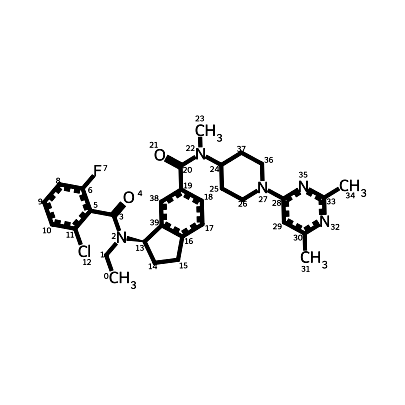 CCN(C(=O)c1c(F)cccc1Cl)[C@@H]1CCc2ccc(C(=O)N(C)C3CCN(c4cc(C)nc(C)n4)CC3)cc21